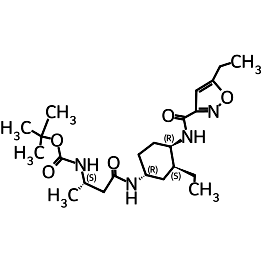 CCc1cc(C(=O)N[C@@H]2CC[C@@H](NC(=O)C[C@H](C)NC(=O)OC(C)(C)C)C[C@@H]2CC)no1